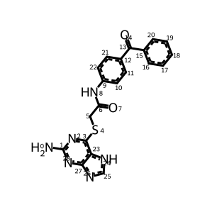 Nc1nc(SCC(=O)Nc2ccc(C(=O)c3ccccc3)cc2)c2[nH]cnc2n1